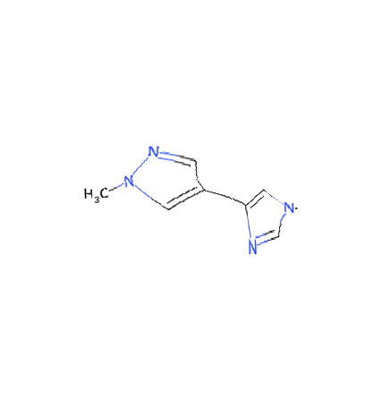 Cn1cc(C2=C[N]C=N2)cn1